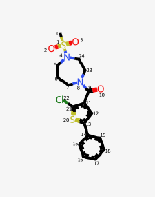 CS(=O)(=O)N1CCCN(C(=O)c2cc(-c3ccccc3)sc2Cl)CC1